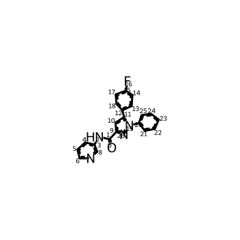 O=C(Nc1cccnc1)c1cc(-c2ccc(F)cc2)n(-c2ccccc2)n1